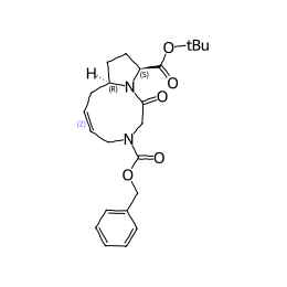 CC(C)(C)OC(=O)[C@@H]1CC[C@@H]2C/C=C\CN(C(=O)OCc3ccccc3)CC(=O)N21